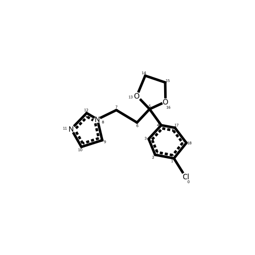 Clc1ccc(C2(CCn3ccnc3)OCCO2)cc1